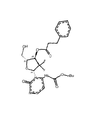 CCCCOC(=O)Nc1ccnc(=O)n1[C@@H]1O[C@H](CO)[C@@H](OC(=O)CCc2ccccc2)C1(F)F